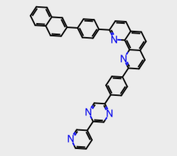 c1cncc(-c2cnc(-c3ccc(-c4ccc5ccc6ccc(-c7ccc(-c8ccc9ccccc9c8)cc7)nc6c5n4)cc3)cn2)c1